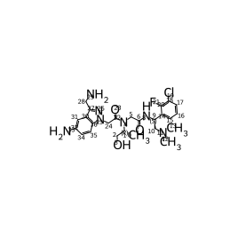 C[C@H](CO)N(CC(=O)N[C@H](CN(C)C)c1cccc(Cl)c1F)C(=O)Cn1nc(CN)c2cc(N)ccc21